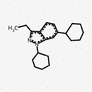 CCc1nn(C2CCCCC2)c2cc(C3CCCCC3)ccc12